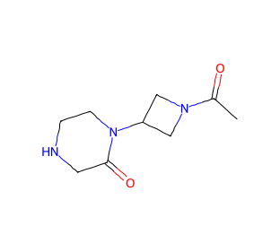 CC(=O)N1CC(N2CCNCC2=O)C1